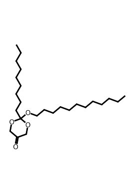 CCCCCCCCCCCCOC1(CCCCCCCCC)OCC(=O)CO1